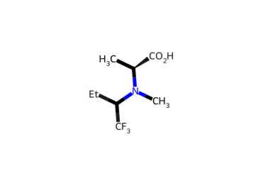 CCC(N(C)[C@@H](C)C(=O)O)C(F)(F)F